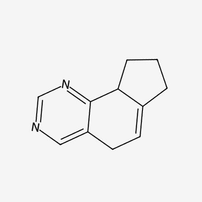 C1=C2CCCC2c2ncncc2C1